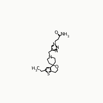 CCc1cc2c(s1)CCOC21CCN(Cc2cn(CCC(N)=O)nn2)CC1